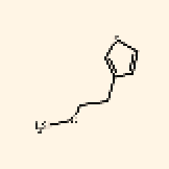 [SiH3]OCCc1ccsc1